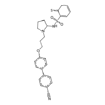 N#Cc1ccc(-c2ccc(OCCCN3CCCC3NS(=O)(=O)C3=CC=CCC3=S)cc2)cc1